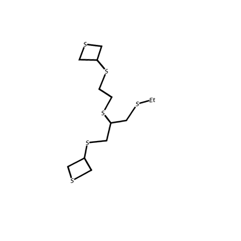 CCSCC(CSC1CSC1)SCCSC1CSC1